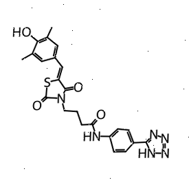 Cc1cc(/C=C2\SC(=O)N(CCCC(=O)Nc3ccc(-c4nnn[nH]4)cc3)C2=O)cc(C)c1O